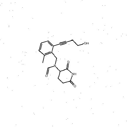 Cc1cccc(C#CCCO)c1CN(C=O)C1CCC(=O)NC1=O